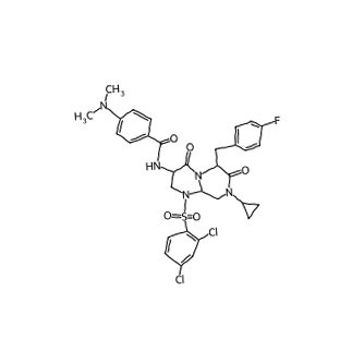 CN(C)c1ccc(C(=O)NC2CN(S(=O)(=O)c3ccc(Cl)cc3Cl)C3CN(C4CC4)C(=O)C(Cc4ccc(F)cc4)N3C2=O)cc1